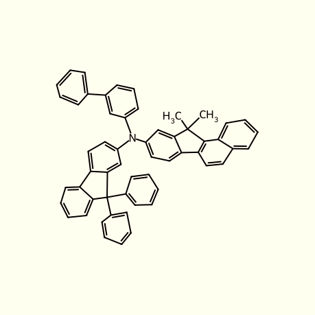 CC1(C)c2cc(N(c3cccc(-c4ccccc4)c3)c3ccc4c(c3)C(c3ccccc3)(c3ccccc3)c3ccccc3-4)ccc2-c2ccc3ccccc3c21